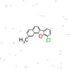 Cc1ccc2ccc3c4cccc(Cl)c4oc3c2c1